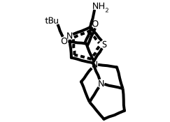 CC(C)(C)OC(=O)N1CC2CCC(C1)N2c1cnc(N)s1